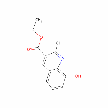 CCOC(=O)c1cc2cccc(O)c2nc1C